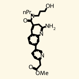 CCCN(CCCO)C(=O)C1=Cc2ccc(-c3ccc(CC(=O)OC)nc3)cc2N=C(N)C1